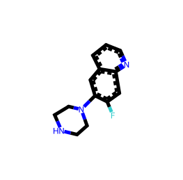 Fc1cc2ncccc2cc1N1CCNCC1